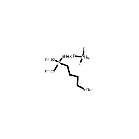 CCCCCCCCCCCCCC[P+](CCCCCC)(CCCCCC)CCCCCC.F[PH-](F)(F)F